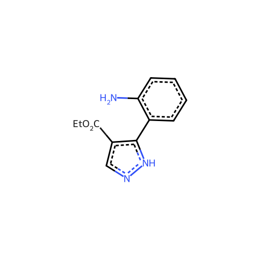 CCOC(=O)c1cn[nH]c1-c1ccccc1N